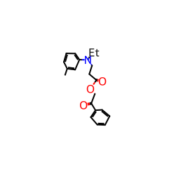 CCN(CCC(=O)OCC(=O)c1ccccc1)c1cccc(C)c1